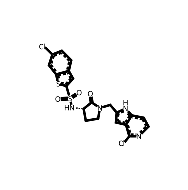 O=C1[C@@H](NS(=O)(=O)c2cc3ccc(Cl)cc3s2)CCN1Cc1cc2c(Cl)nccc2[nH]1